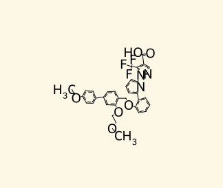 COCCOc1cc(-c2ccc(OC)cc2)ccc1COc1ccccc1-c1cccc(-n2ncc(C(=O)O)c2C(F)(F)F)n1